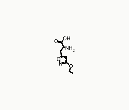 CCOc1cc(CC(N)C(=O)O)on1